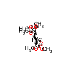 CO[Si](CC=CC[Si](OC)(OC)OC)(OC)OC